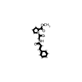 COC(=O)C1CCCN1C(=O)CNC(=O)/C=C/c1ccccc1